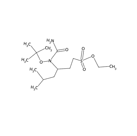 CCOS(=O)(=O)CCC(CC(C)C)N(OC(C)(C)C)C(N)=O